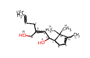 C=CCC(=CC(O)C1CC=C(C)C1(C)C)CO